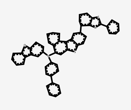 c1ccc(-c2ccc(N(c3ccc4oc5ccccc5c4c3)c3cc4sc5ccc(-c6cccc7sc(-c8ccccc8)nc67)cc5c4c4ccccc34)cc2)cc1